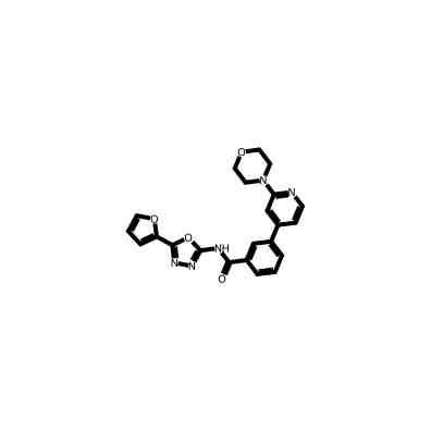 O=C(Nc1nnc(-c2ccco2)o1)c1cccc(-c2ccnc(N3CCOCC3)c2)c1